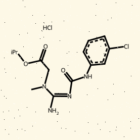 CC(C)OC(=O)CN(C)C(N)=NC(=O)Nc1cccc(Cl)c1.Cl